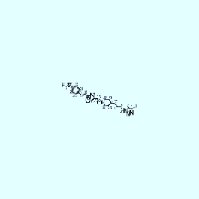 Cc1cn(CCCCc2ccc(OCc3coc(/C=C/c4ccc(C(F)(F)F)cc4)n3)cc2)nn1